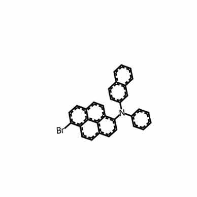 Brc1ccc2ccc3c(N(c4ccccc4)c4ccc5ccccc5c4)ccc4ccc1c2c43